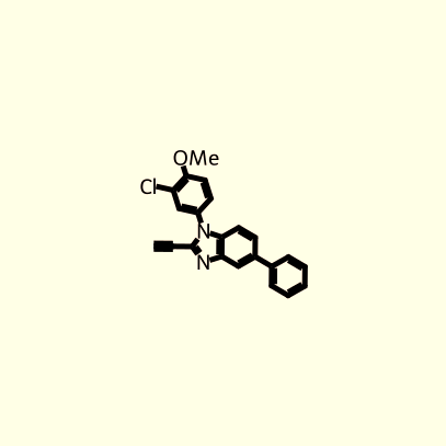 C#Cc1nc2cc(-c3ccccc3)ccc2n1-c1ccc(OC)c(Cl)c1